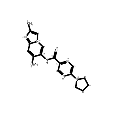 COc1cc2nc(C)cn2cc1NC(=O)c1cnc(N2C[CH]CC2)cn1